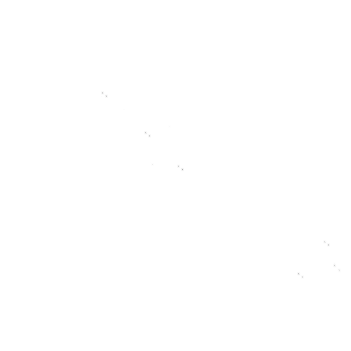 COc1cc(-c2cc(F)cc3c2n(C)c(=O)n3CC(=O)N(C)c2ccc(F)cc2)cc(F)c1OCc1nnc[nH]1